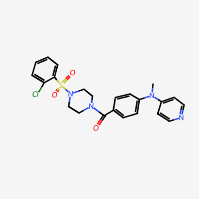 CN(c1ccncc1)c1ccc(C(=O)N2CCN(S(=O)(=O)c3ccccc3Cl)CC2)cc1